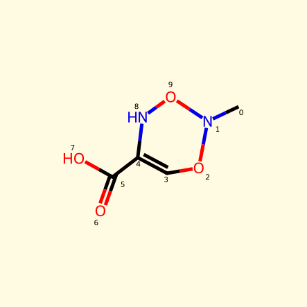 Cn1occ(C(=O)O)[nH]o1